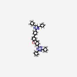 c1ccc(-c2cc(-c3ccccc3)nc(-c3ccc(-c4ccc5oc6cc(-c7nc(-c8ccccc8)nc(-c8ccccc8)n7)ccc6c5c4)cc3)n2)cc1